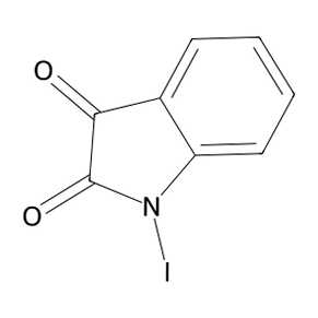 O=C1C(=O)N(I)c2ccccc21